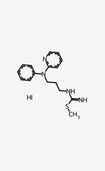 CSC(=N)NCCCN(c1ccccc1)c1ccccn1.I